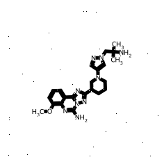 COc1cccc2c1nc(N)n1nc(C3CCCN(c4cnn(CC(C)(C)N)c4)C3)nc21